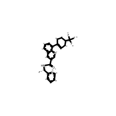 C[C@H](NC(=O)c1cnc2c(C3=CCC(C(F)(F)F)CC3)cccc2c1)c1ccccn1